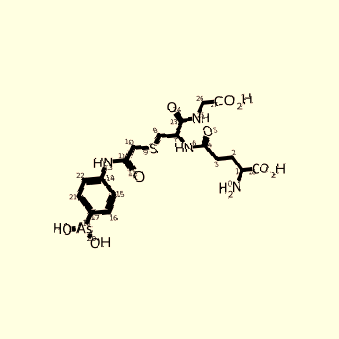 NC(CCC(=O)NC(CSCC(=O)Nc1ccc([As](O)O)cc1)C(=O)NCC(=O)O)C(=O)O